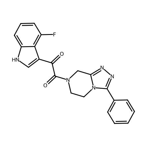 O=C(C(=O)N1CCn2c(nnc2-c2ccccc2)C1)c1c[nH]c2cccc(F)c12